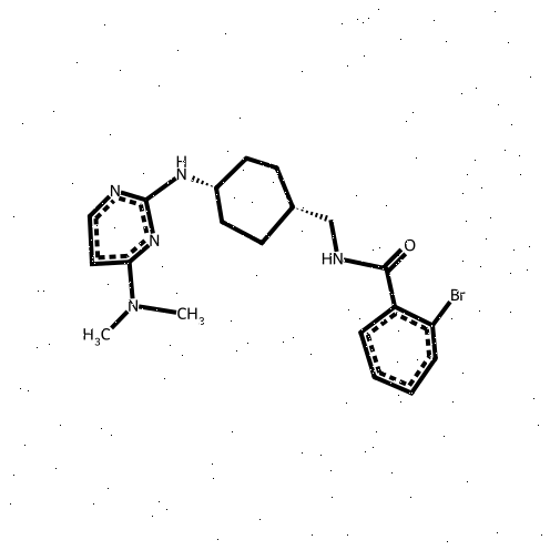 CN(C)c1ccnc(N[C@H]2CC[C@@H](CNC(=O)c3ccccc3Br)CC2)n1